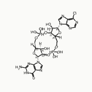 Nc1nc2c(ncn2[C@@H]2O[C@@H]3CO[PH](O)(O)O[C@H]4[C@@H](O)[C@H](n5cnc6c(Cl)ncnc65)O[C@@H]4CO[PH](O)(O)O[C@@H]2[C@@H]3O)c(=O)[nH]1